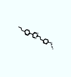 CCCc1ccc(-c2cnc(CCc3ccc(N=C=S)cc3)nc2)cc1